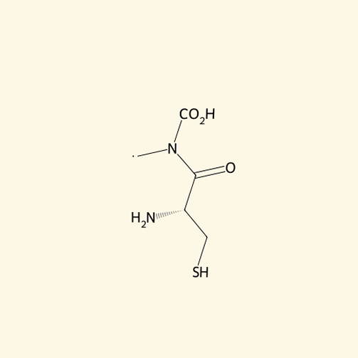 [CH2]N(C(=O)O)C(=O)[C@@H](N)CS